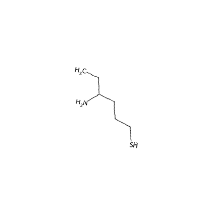 CCC(N)CCCS